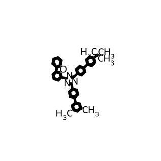 Cc1cc(C)cc(-c2ccc(-c3nc(-c4ccc(-c5ccc(C(C)(C)C)cc5)cc4)nc(-c4cccc5c4oc4ccccc45)n3)cc2)c1